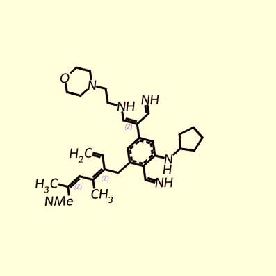 C=C/C(Cc1cc(/C(C=N)=C/NCCN2CCOCC2)cc(NC2CCCC2)c1C=N)=C(C)\C=C(\C)NC